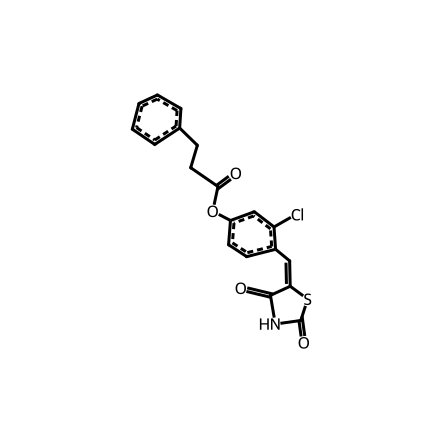 O=C(CCc1ccccc1)Oc1ccc(C=C2SC(=O)NC2=O)c(Cl)c1